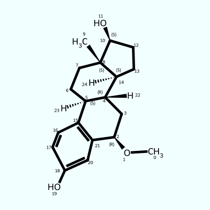 CO[C@@H]1C[C@@H]2[C@H](CC[C@]3(C)[C@@H](O)CC[C@@H]23)c2ccc(O)cc21